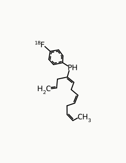 C=CC/C(=C\C/C=C\C/C=C\C)Pc1ccc([18F])cc1